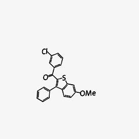 COc1ccc2c(-c3ccccc3)c(C(=O)c3cccc(Cl)c3)sc2c1